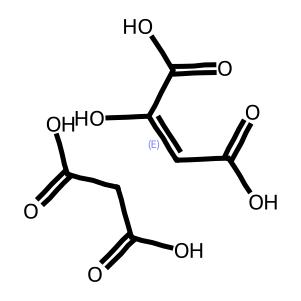 O=C(O)/C=C(/O)C(=O)O.O=C(O)CC(=O)O